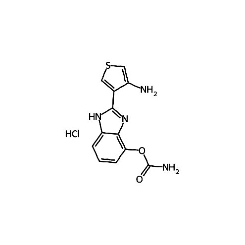 Cl.NC(=O)Oc1cccc2[nH]c(-c3cscc3N)nc12